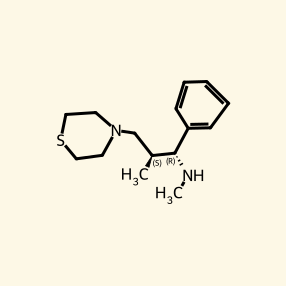 CN[C@@H](c1ccccc1)[C@@H](C)CN1CCSCC1